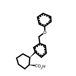 O=C(O)[C@H]1CCCC[C@H]1c1cccc(COc2ccccc2)c1